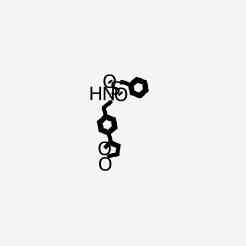 O=C1CC=C(c2ccc(CCNS(=O)(=O)Cc3ccccc3)cc2)O1